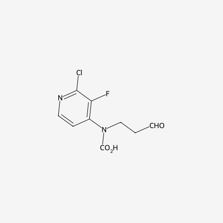 O=CCCN(C(=O)O)c1ccnc(Cl)c1F